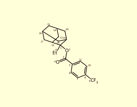 CCC1(OC(=O)c2ccc(C(F)(F)F)cc2)C2CC3CC(C2)CC1C3